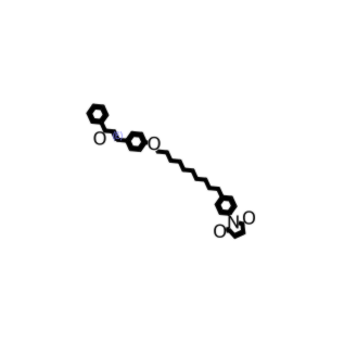 O=C(/C=C/c1ccc(OCCCCCCCCCCc2ccc(N3C(=O)C=CC3=O)cc2)cc1)c1ccccc1